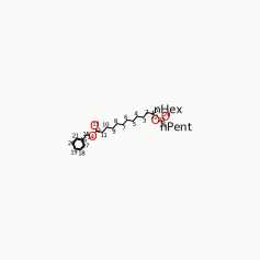 CCCCCCC(CCCCCCCCCCC(=O)OCc1ccccc1)OC(=O)CCCCC